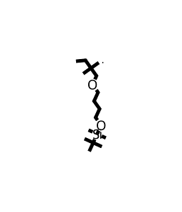 [CH2]C(C)(CC)COCCCCO[Si](C)(C)C(C)(C)C